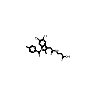 Cc1ccc(C(=S)n2c(C)c(CC(=O)NCCC(=O)O)c3cc(O)c(Cl)cc32)cc1